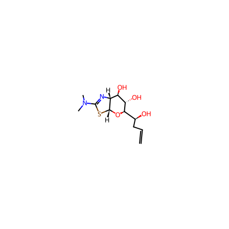 C=CC[C@H](O)[C@H]1O[C@@H]2SC(N(C)C)=N[C@@H]2[C@@H](O)[C@@H]1O